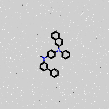 CN(c1ccc(N(c2ccccc2)c2ccc3ccccc3c2)cc1)c1cccc(-c2ccccc2)c1